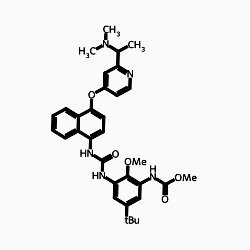 COC(=O)Nc1cc(C(C)(C)C)cc(NC(=O)Nc2ccc(Oc3ccnc(C(C)N(C)C)c3)c3ccccc23)c1OC